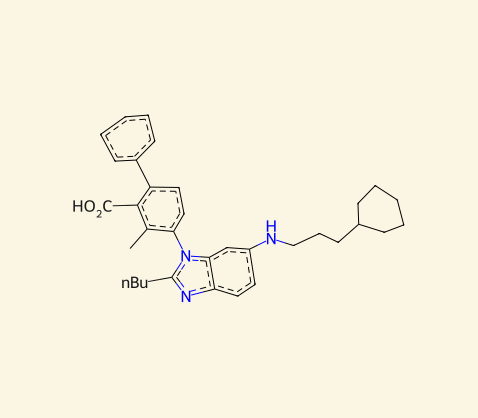 CCCCc1nc2ccc(NCCCC3CCCCC3)cc2n1-c1ccc(-c2ccccc2)c(C(=O)O)c1C